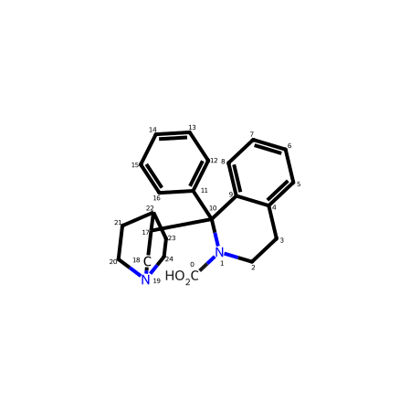 O=C(O)N1CCc2ccccc2C1(c1ccccc1)C1CN2CCC1CC2